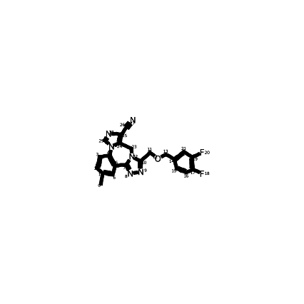 Cc1ccc2c(c1)-c1nnc(COCc3ccc(F)c(F)c3)n1Cc1c(C#N)ncn1-2